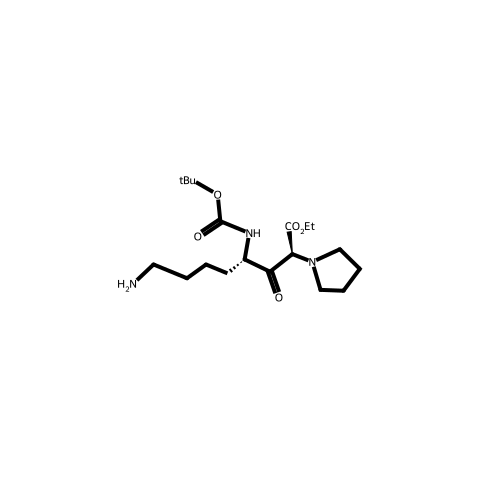 CCOC(=O)[C@H](C(=O)[C@H](CCCCN)NC(=O)OC(C)(C)C)N1CCCC1